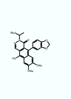 COc1cc2c(O)c3cnn(C(C)OCC(C)C)c(=O)c3c(-c3ccc4c(c3)OCO4)c2cc1OC